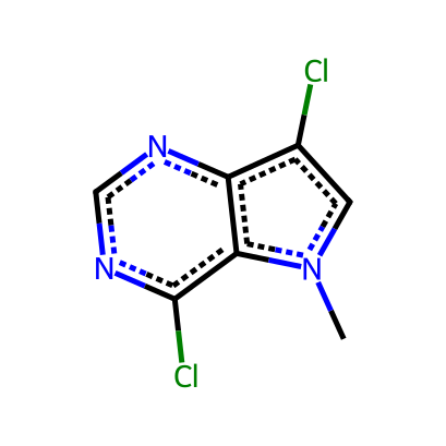 Cn1cc(Cl)c2ncnc(Cl)c21